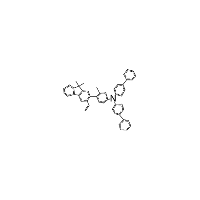 C=Cc1cc2c(cc1-c1ccc(N(c3ccc(-c4ccccc4)cc3)c3ccc(-c4ccccc4)cc3)cc1C)C(C)(C)c1ccccc1-2